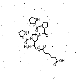 NC(=O)C1CCCN1C(=O)[C@@H]1CCCN1.NC(=O)C1CCCN1C(=O)[C@@H]1CCCN1.O=C(O)CCCCC(=O)O